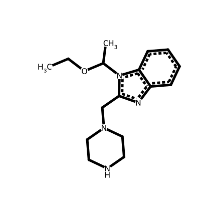 CCOC(C)n1c(CN2CCNCC2)nc2ccccc21